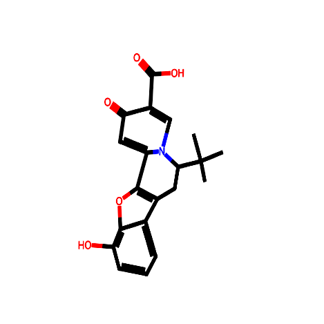 CC(C)(C)C1Cc2c(oc3c(O)cccc23)-c2cc(=O)c(C(=O)O)cn21